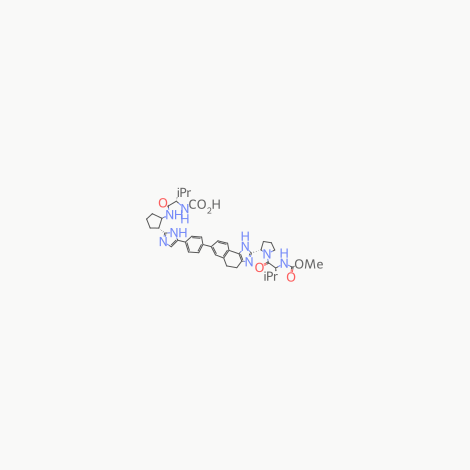 COC(=O)N[C@H](C(=O)N1CCC[C@H]1c1nc2c([nH]1)-c1ccc(-c3ccc(-c4cnc([C@@H]5CCC[C@H]5NC(=O)[C@@H](NC(=O)O)C(C)C)[nH]4)cc3)cc1CC2)C(C)C